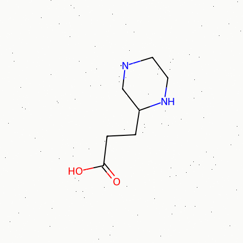 O=C(O)CCC1C[N]CCN1